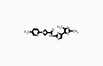 Cc1nc(C)c(-c2csc(NC(=O)C3CN(c4ccc(C(F)(F)F)cn4)C3)n2)s1